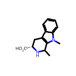 CC1N[C@H](C(=O)O)Cc2c1n(C)c1ccccc21